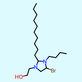 CCCCCCCCCCC1N(CCO)CC(Br)N1CCCC